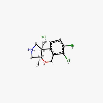 Cl.Clc1c(Br)ccc2c1CO[C@H]1CNC[C@@H]21